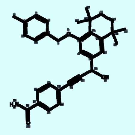 Cc1ccc(COc2cc(C(O)C#Cc3ccc(C(N)=O)cc3)cc3c2C(C)(C)CCC3(C)C)cc1